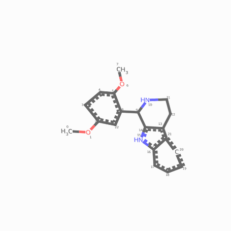 COc1ccc(OC)c(C2NCCc3c2[nH]c2ccccc32)c1